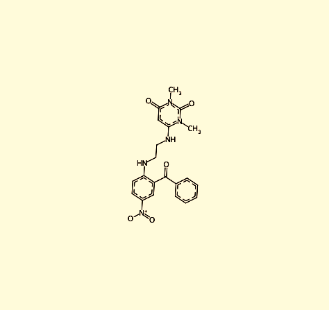 Cn1c(NCCNc2ccc([N+](=O)[O-])cc2C(=O)c2ccccc2)cc(=O)n(C)c1=O